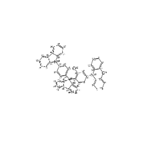 c1ccc2c(c1)Oc1ccccc1N2c1ccc2c(c1)Oc1cc(-n3c4ccccc4c4ccccc43)ccc1C21c2cccnc2-c2ncccc21